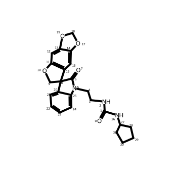 O=C(NCCN1C(=O)C2(COc3cc4c(cc32)OCO4)c2ccccc21)NC1CCCC1